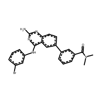 CN(C)C(=O)c1cccc(-c2ccc3nc(N)nc(Nc4cccc(Br)c4)c3c2)c1